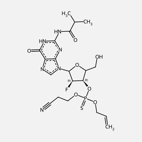 C=CCOP(=S)(OCCC#N)O[C@@H]1C(CO)OC(n2cnc3c(=O)[nH]c(NC(=O)C(C)C)nc32)[C@@H]1F